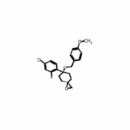 COc1ccc(CO[C@]2(c3ccc(Cl)cc3F)CC[C@@]3(CC2)CO3)cc1